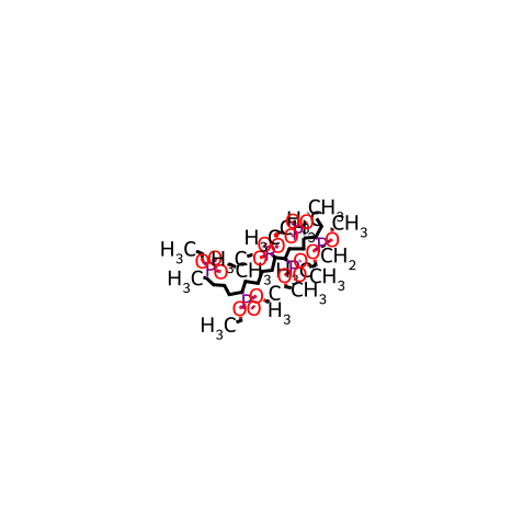 C=P(OCC)(OCC)C(CC)C(CCC(C(CCCCC(CCCC(C)P(=O)(OCC)OCC)P(=O)(OCC)OCC)P(=O)(OCC)OCC)P(=O)(OCC)OCC)P(=O)(OCC)OCC